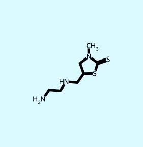 CN1CC(CNCCN)SC1=S